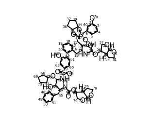 COc1cccc(S(=O)(=O)N(C[C@@H](O)[C@H](Cc2ccccc2)NC(=O)O[C@H]2CO[C@H]3OCC[C@H]32)OC2CCCC2)c1.O=C(N[C@@H](Cc1ccccc1)[C@@H](O)C(NS(=O)(=O)c1cccc(O)c1)OC1CCCC1)O[C@H]1CO[C@H]2OCC[C@H]21